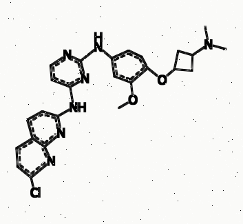 COc1cc(Nc2nccc(Nc3ccc4ccc(Cl)nc4n3)n2)ccc1OC1CC(N(C)C)C1